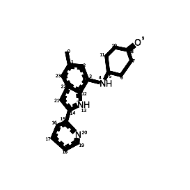 Cc1cc(NC2CCC(=O)CC2)c2[nH]c(-c3ccccn3)cc2c1